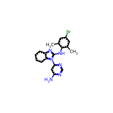 Cc1cc(Br)cc(C)c1Nc1nc2ccccc2n1-c1cc(N)ncn1